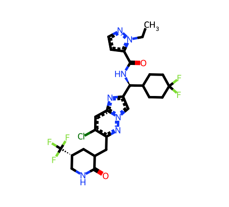 CCn1nccc1C(=O)N[C@H](c1cn2nc(CC3C[C@@H](C(F)(F)F)CNC3=O)c(Cl)cc2n1)C1CCC(F)(F)CC1